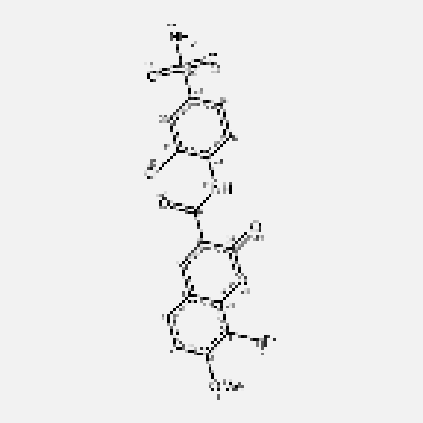 CCCc1c(OC)ccc2cc(C(=O)Nc3ccc(S(N)(=O)=O)cc3Cl)c(=O)oc12